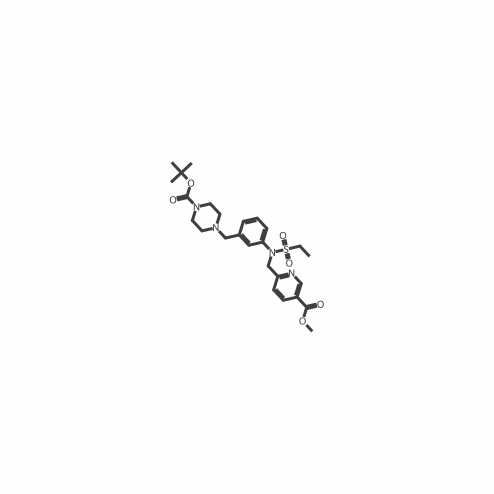 CCS(=O)(=O)N(Cc1ccc(C(=O)OC)cn1)c1cccc(CN2CCN(C(=O)OC(C)(C)C)CC2)c1